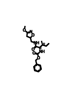 CC[C@H](C)[C@H](NC(=O)OCc1ccccc1)C(=O)NCC1CC(OC)=NO1